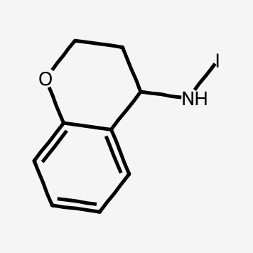 INC1CCOc2ccccc21